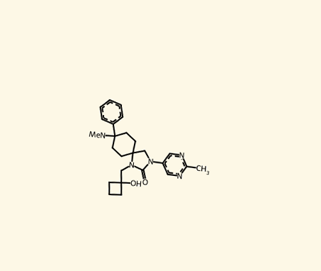 CNC1(c2ccccc2)CCC2(CC1)CN(c1cnc(C)nc1)C(=O)N2CC1(O)CCC1